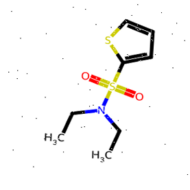 CCN(CC)S(=O)(=O)c1cccs1